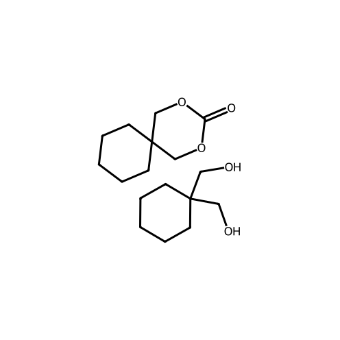 O=C1OCC2(CCCCC2)CO1.OCC1(CO)CCCCC1